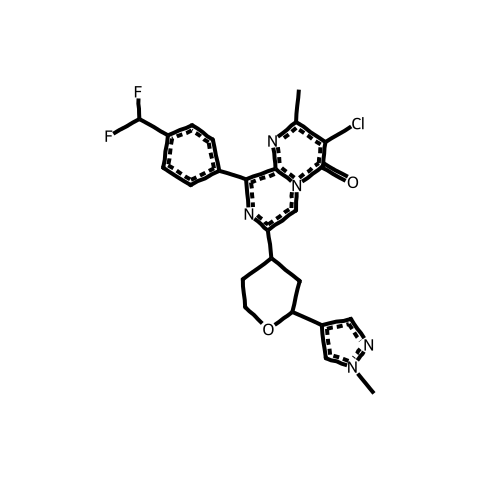 Cc1nc2c(-c3ccc(C(F)F)cc3)nc(C3CCOC(c4cnn(C)c4)C3)cn2c(=O)c1Cl